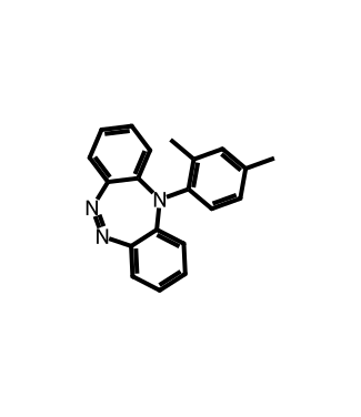 Cc1ccc(N2c3ccccc3N=Nc3ccccc32)c(C)c1